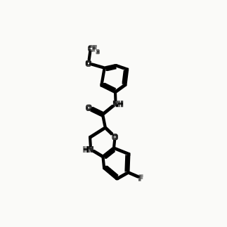 O=C(Nc1cccc(OC(F)(F)F)c1)C1CNc2ccc(F)cc2O1